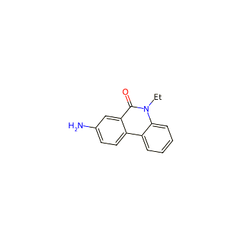 CCn1c(=O)c2cc(N)ccc2c2ccccc21